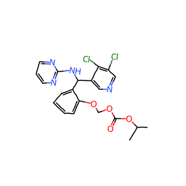 CC(C)OC(=O)OCOc1ccccc1C(Nc1ncccn1)c1cncc(Cl)c1Cl